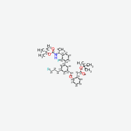 CC(NC(=O)OC(C)(C)C)c1cccc(-c2cc(CCCF)cc(COc3ccccc3CC(=O)OC(C)(C)C)c2)c1F